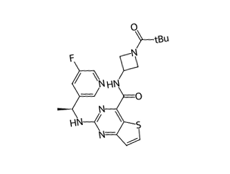 C[C@H](Nc1nc(C(=O)NC2CN(C(=O)C(C)(C)C)C2)c2sccc2n1)c1cncc(F)c1